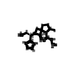 CC1CCC2(CN([C@@H](CO)c3nnco3)C2=O)N1C(=O)OC(C)(C)C